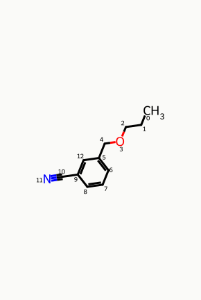 CCCOCc1cccc(C#N)c1